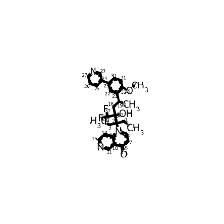 CCC(CC)(n1ccc(=O)c2cnccc21)C(O)(CC(C)c1cc(-c2cccnc2)ccc1OC)C(F)(F)F